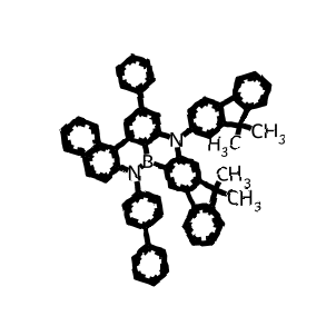 CC1(C)c2ccccc2-c2ccc(N3c4cc5c(cc4B4c6c(cc(-c7ccccc7)cc63)-c3c(ccc6ccccc36)N4c3ccc(-c4ccccc4)cc3)-c3ccccc3C5(C)C)cc21